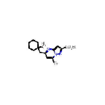 CCOC(=O)c1cc2nc(CC3(C)CCCCC3)cc(C(C)C)n2n1